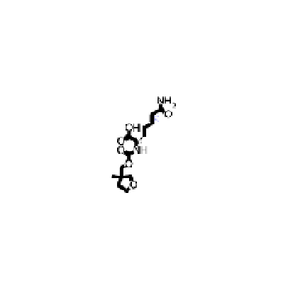 CC1(COC(=O)N[C@@H](CC/C=C/C(N)=O)C(=O)O)CCOC1